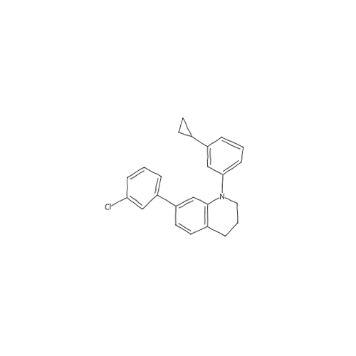 Clc1cccc(-c2ccc3c(c2)N(c2cccc(C4CC4)c2)CCC3)c1